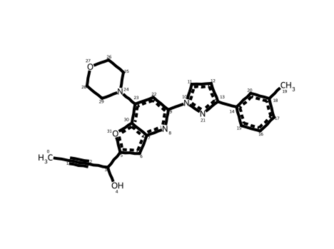 CC#CC(O)c1cc2nc(-n3ccc(-c4cccc(C)c4)n3)cc(N3CCOCC3)c2o1